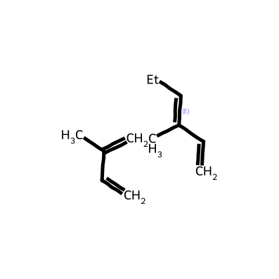 C=C/C(C)=C/CC.C=CC(=C)C